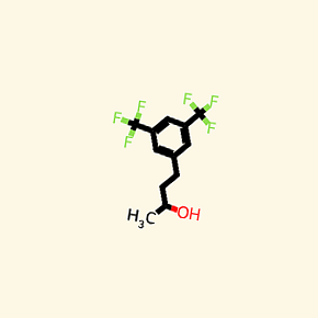 CC(O)CCc1cc(C(F)(F)F)cc(C(F)(F)F)c1